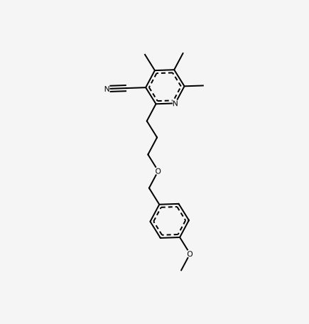 COc1ccc(COCCCc2nc(C)c(C)c(C)c2C#N)cc1